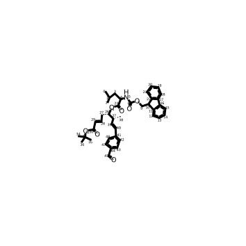 CC(C)CC(NC(=O)OCC1c2ccccc2-c2ccccc21)C(=O)O[C@@H](C/C=C/C(=O)OC(C)(C)C)[C@H](C)/C=C/c1ccc(C=O)cc1